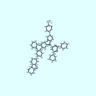 FC(F)(F)c1ccc(-c2ccc3c(c2)c2cc4c5ccccc5c5cc(-c6ccc7c(c6)oc6ccccc67)ccc5c4cc2n3-c2cc(-c3ccccc3)nc(-c3ccccc3)n2)cc1